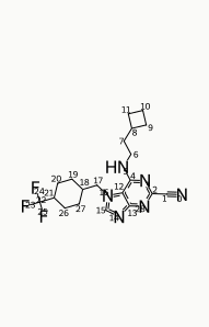 N#Cc1nc(NCCC2CCC2)c2c(ncn2CC2CCC(C(F)(F)F)CC2)n1